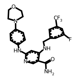 NC(=O)c1cnc(Nc2ccc(N3CCOCC3)cc2)cc1NCc1cc(F)cc(C(F)(F)F)c1